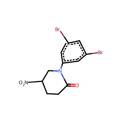 O=C1CCC([N+](=O)[O-])CN1c1cc(Br)cc(Br)c1